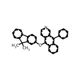 CC1(C)c2ccccc2-c2ccc(Oc3c4ccccc4c(-c4ccccc4)c4cnccc34)cc21